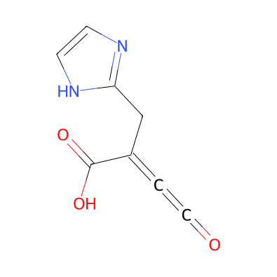 O=C=C=C(Cc1ncc[nH]1)C(=O)O